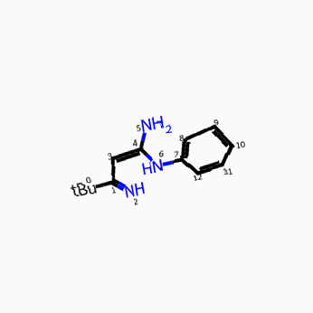 CC(C)(C)C(=N)/C=C(/N)Nc1ccccc1